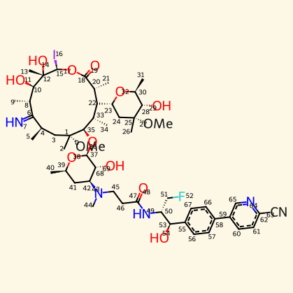 CO[C@]1(C)C[C@@H](C)C(=N)[C@H](C)[C@@H](O)[C@](C)(O)[C@@H](I)OC(=O)[C@H](C)C([C@H]2C[C@@](C)(OC)[C@@H](O)[C@H](C)O2)[C@H](C)[C@H]1O[C@@H]1O[C@H](C)C[C@H](N(C)CCC(=O)N[C@H](CF)[C@H](O)c2ccc(-c3ccc(C#N)nc3)cc2)[C@H]1O